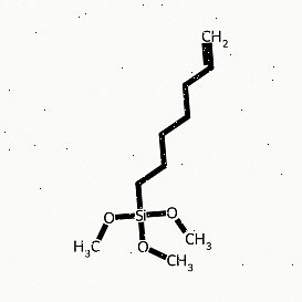 C=CCCCCC[Si](OC)(OC)OC